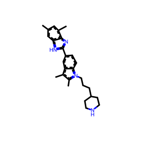 Cc1cc(C)c2nc(-c3ccc4c(c3)c(C)c(C)n4CCCC3CCNCC3)[nH]c2c1